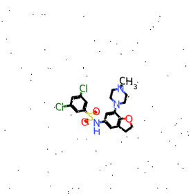 CN1CCN(c2cc(NS(=O)(=O)c3cc(Cl)cc(Cl)c3)cc3c2OCC3)CC1